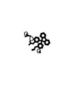 C=CCc1cc(C2(c3ccc(OCC4CO4)c(CC(C)C)c3)c3ccccc3-c3ccccc32)ccc1OC